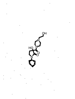 O=C(N1CCN(CCO)CC1)C1(O)CCN(c2ccccc2)C1=O